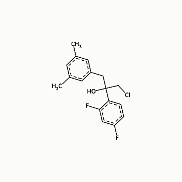 Cc1cc(C)cc(CC(O)(CCl)c2ccc(F)cc2F)c1